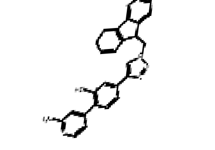 Cc1cc(-c2ccc(-c3cn(CC4C5=C(CCC=C5)c5ccccc54)nn3)cc2O)ccn1